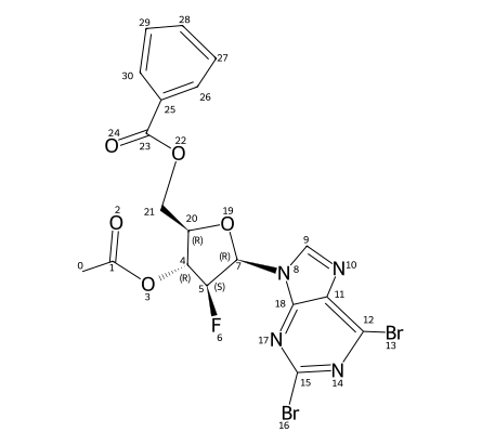 CC(=O)O[C@H]1[C@H](F)[C@H](n2cnc3c(Br)nc(Br)nc32)O[C@@H]1COC(=O)c1ccccc1